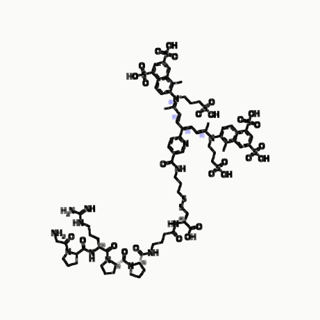 C\C(=C/C=C(/C=C/C(C)=[N+](\CCCS(=O)(=O)O)c1ccc2c(S(=O)(=O)O)cc(S(=O)(=O)O)cc2c1C)c1ccc(C(=O)NCCCSSC[C@H](NC(=O)CCCNC(=O)[C@@H]2CCCN2C(=O)[C@@H]2CCCN2C(=O)[C@H](CCCNC(=N)N)NC(=O)C2CCCN2C(=O)CN)C(=O)O)cn1)N(CCCS(=O)(=O)O)c1ccc2c(S(=O)(=O)O)cc(S(=O)(=O)O)cc2c1C